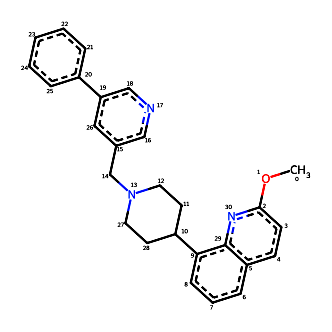 COc1ccc2cccc(C3CCN(Cc4cncc(-c5ccccc5)c4)CC3)c2n1